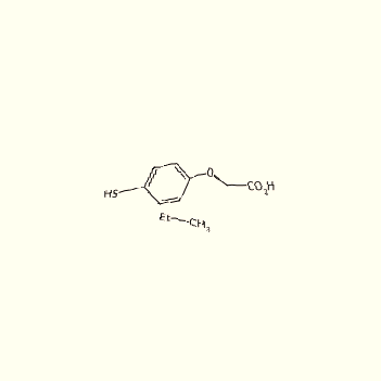 CCC.O=C(O)COc1ccc(S)cc1